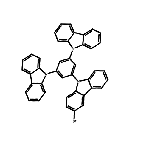 Brc1ccc2c(c1)c1ccccc1n2-c1cc(-n2c3ccccc3c3ccccc32)cc(-n2c3ccccc3c3ccccc32)c1